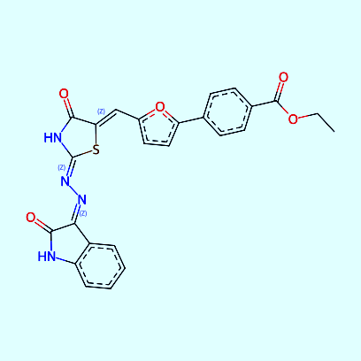 CCOC(=O)c1ccc(-c2ccc(/C=C3\S/C(=N\N=C4/C(=O)Nc5ccccc54)NC3=O)o2)cc1